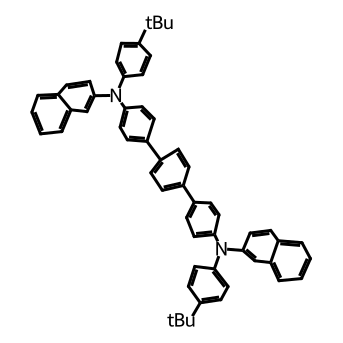 CC(C)(C)c1ccc(N(c2ccc(-c3ccc(-c4ccc(N(c5ccc(C(C)(C)C)cc5)c5ccc6ccccc6c5)cc4)cc3)cc2)c2ccc3ccccc3c2)cc1